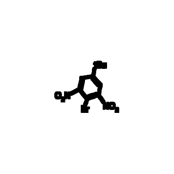 CC(C)(C)c1cc([N+](=O)[O-])c(Br)c([N+](=O)[O-])c1